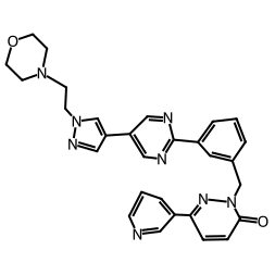 O=c1ccc(-c2cccnc2)nn1Cc1cccc(-c2ncc(-c3cnn(CCN4CCOCC4)c3)cn2)c1